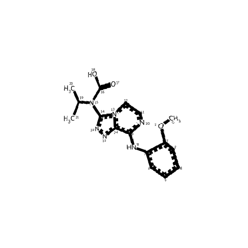 COc1ccccc1Nc1nccn2c(N(C(=O)O)C(C)C)nnc12